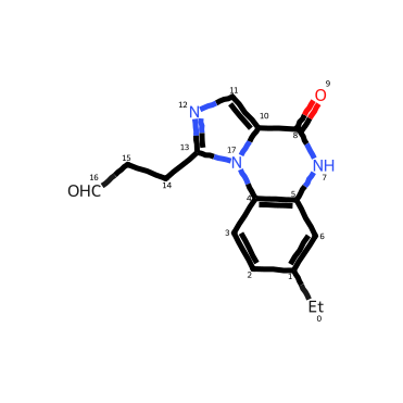 CCc1ccc2c(c1)[nH]c(=O)c1cnc(CCC=O)n12